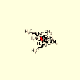 CCCCOC([SiH3])(OC)C(C)(OC)C(N)C(C)(OC)C([SiH3])(OC)OCCCC